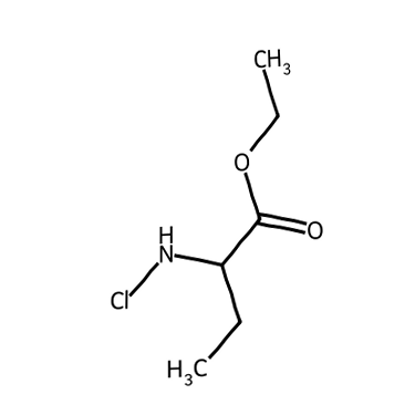 CCOC(=O)C(CC)NCl